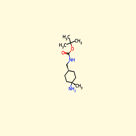 CC(C)(C)OC(=O)NC[C@H]1CC[C@](C)(N)CC1